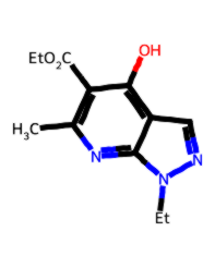 CCOC(=O)c1c(C)nc2c(cnn2CC)c1O